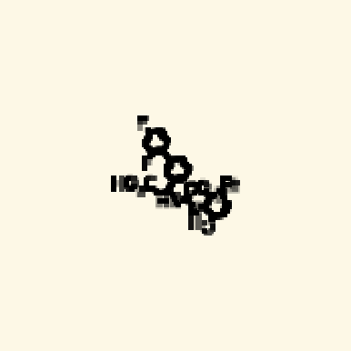 CCN1C=CC(=O)C(NC(=O)NC(CC(=O)O)c2cccc(-c3ccc(F)cc3F)c2)C1=O